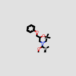 COC(N1CC(COc2ccccc2)O[Si](C)(C)C1)[SiH](C)C